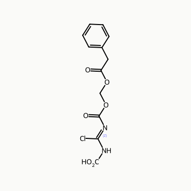 O=C(O)N/C(Cl)=N/C(=O)OCOC(=O)Cc1ccccc1